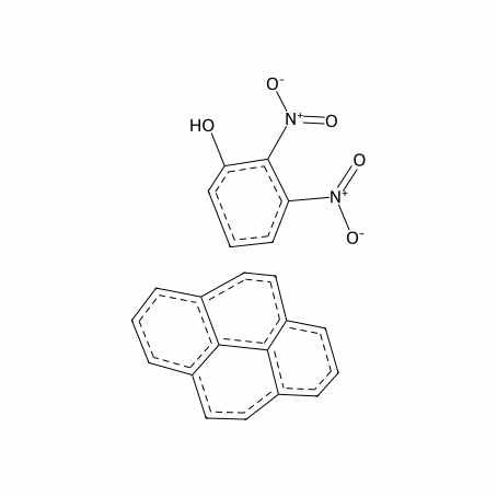 O=[N+]([O-])c1cccc(O)c1[N+](=O)[O-].c1cc2ccc3cccc4ccc(c1)c2c34